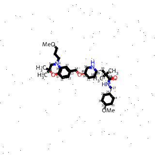 COCCCN1CC(C)(C)Oc2ccc(CO[C@@H]3CC[C@@H](CC(C)(C)C(=O)NC[C@H]4CC[C@H](OC)CC4)NC3)cc21